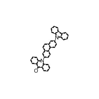 O=c1c2ccccc2n(-c2ccc3c(ccc4cc(-n5c6ccccc6c6ccccc65)ccc43)c2)c2ccccc12